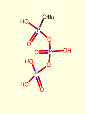 CC(C)COP(=O)(O)OP(=O)(O)OP(=O)(O)O